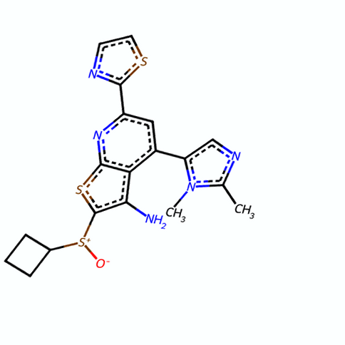 Cc1ncc(-c2cc(-c3nccs3)nc3sc([S+]([O-])C4CCC4)c(N)c23)n1C